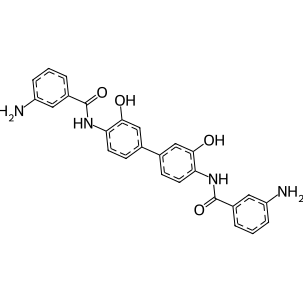 Nc1cccc(C(=O)Nc2ccc(-c3ccc(NC(=O)c4cccc(N)c4)c(O)c3)cc2O)c1